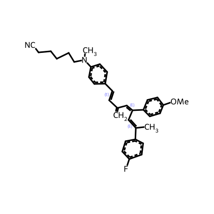 C=C(/C=C/c1ccc(N(C)CCCCCC#N)cc1)/C=C(\C=C(/C)c1ccc(F)cc1)c1ccc(OC)cc1